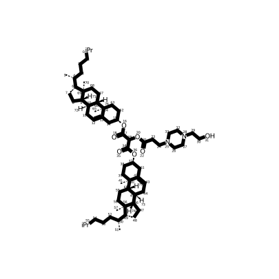 CC(C)CCC[C@@H](C)[C@H]1CC[C@H]2[C@@H]3CC=C4C[C@@H](OC(=O)C(OC(=O)CCN5CCN(CCO)CC5)C(=O)O[C@H]5CC[C@@]6(C)C(=CC[C@H]7[C@@H]8CC[C@H]([C@H](C)CCCC(C)C)[C@@]8(C)CC[C@@H]76)C5)CC[C@]4(C)[C@H]3CC[C@]12C